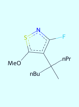 CCCCC(C)(CCC)c1c(F)nsc1OC